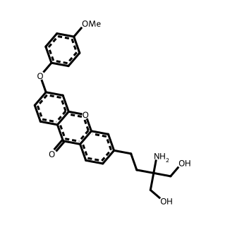 COc1ccc(Oc2ccc3c(=O)c4ccc(CCC(N)(CO)CO)cc4oc3c2)cc1